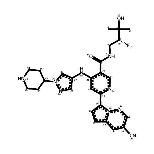 CC(C)(O)[C@H](F)CNC(=O)c1cnc(-c2ccc3cc(C#N)cnn23)cc1Nc1cnn(C2CCNCC2)c1